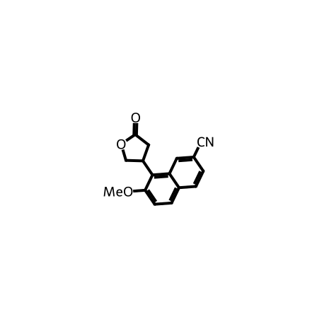 COc1ccc2ccc(C#N)cc2c1C1COC(=O)C1